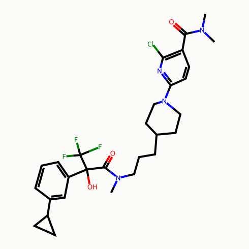 CN(C)C(=O)c1ccc(N2CCC(CCCN(C)C(=O)C(O)(c3cccc(C4CC4)c3)C(F)(F)F)CC2)nc1Cl